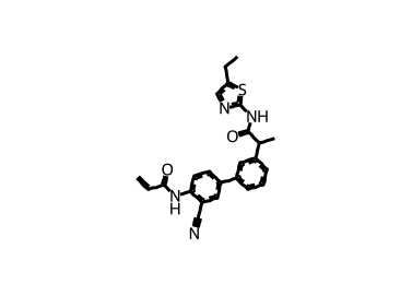 C=CC(=O)Nc1ccc(-c2cccc(C(C)C(=O)Nc3ncc(CC)s3)c2)cc1C#N